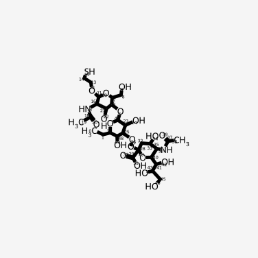 CCC1OC(OC2C(CO)OC(OCCS)C(NC(C)=O)C2O)C(O)C(OOC2(C(=O)O)CC(O)C(NC(C)=O)C(C(O)C(O)CO)O2)C1O